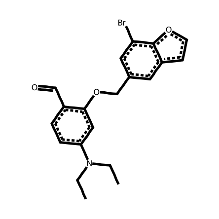 CCN(CC)c1ccc(C=O)c(OCc2cc(Br)c3occc3c2)c1